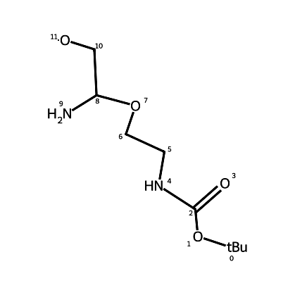 CC(C)(C)OC(=O)NCCOC(N)C[O]